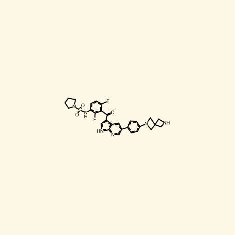 O=C(c1c(F)ccc(NS(=O)(=O)N2CCCC2)c1F)c1c[nH]c2ncc(-c3ccc(N4CC5(CNC5)C4)cc3)cc12